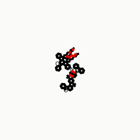 CCCCCCCC1(CCCCCCC)c2ccccc2-c2c1c1c(c3c2oc2ccccc23)-c2ccc(N(c3ccc4c(c3)C(C)(C)c3cc5c(cc3-4)C(C)(C)c3ccc4oc6ccccc6c4c3-5)c3cccc4c5ccccc5n(-c5ccccc5)c34)cc2C1(CCCCCCC)CCCCCCC